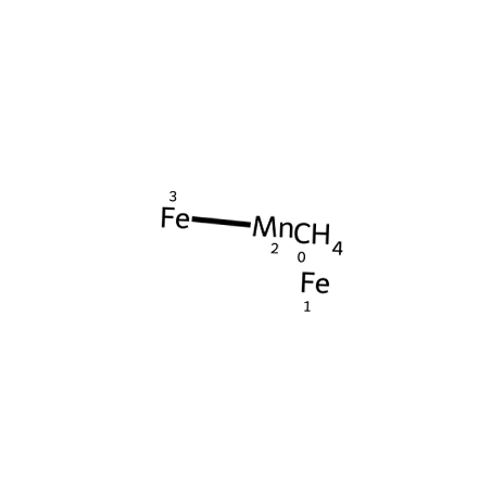 C.[Fe].[Mn][Fe]